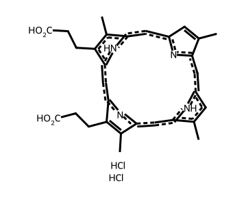 CC1=Cc2cc3[nH]c(cc4nc(cc5[nH]c(cc1n2)cc5C)C(C)=C4CCC(=O)O)c(CCC(=O)O)c3C.Cl.Cl